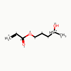 C=CC(=O)OCCC[SiH](C)O